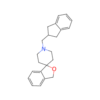 c1ccc2c(c1)CC(CN1CCC3(CC1)OCc1ccccc13)C2